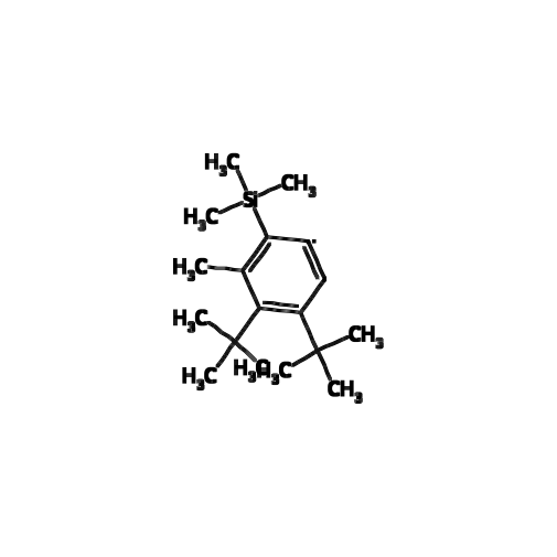 Cc1c([Si](C)(C)C)[c]cc(C(C)(C)C)c1C(C)(C)C